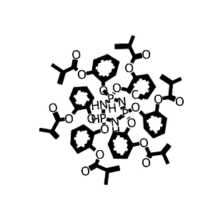 C=C(C)C(=O)Oc1ccccc1OP1(Oc2ccccc2OC(=O)C(=C)C)=N[PH](Oc2ccccc2OC(=O)C(=C)C)(Oc2ccccc2OC(=O)C(=C)C)N[PH](Oc2ccccc2OC(=O)C(=C)C)(Oc2ccccc2OC(=O)C(=C)C)N1